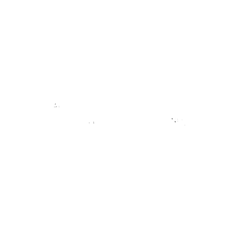 CC(=O)COc1ccc([N+](=O)[O-])cc1